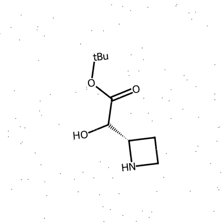 CC(C)(C)OC(=O)C(O)[C@@H]1CCN1